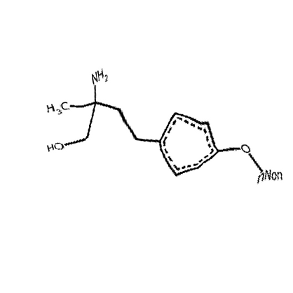 CCCCCCCCCOc1ccc(CCC(C)(N)CO)cc1